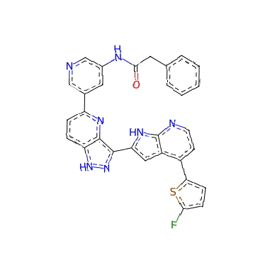 O=C(Cc1ccccc1)Nc1cncc(-c2ccc3[nH]nc(-c4cc5c(-c6ccc(F)s6)ccnc5[nH]4)c3n2)c1